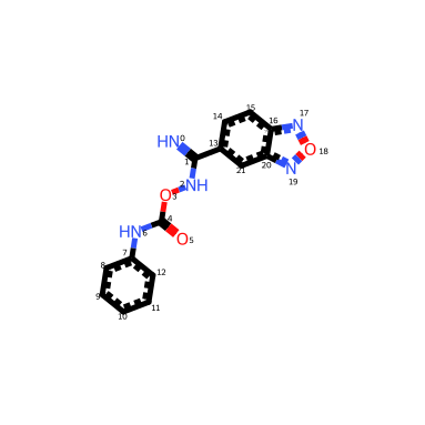 N=C(NOC(=O)Nc1ccccc1)c1ccc2nonc2c1